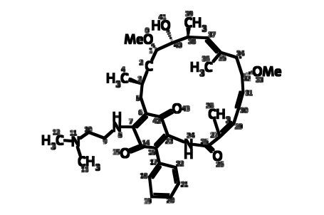 CO[C@H]1C[C@H](C)CC2=C(NCCN(C)C)C(=O)C(c3ccccc3)=C(NC(=O)/C(C)=C/C=C/[C@@H](OC)[CH]/C(C)=C/[C@H](C)[C@H]1O)C2=O